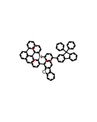 c1ccc(-c2cccc3cccc(-c4ccccc4N(c4ccc(-c5ccc6c(c5)C(c5ccccc5)(c5ccccc5)c5ccccc5-6)cc4)c4ccccc4-c4cccc5c4oc4ccccc45)c23)cc1